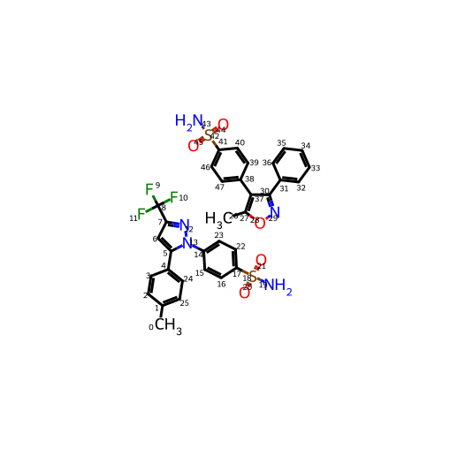 Cc1ccc(-c2cc(C(F)(F)F)nn2-c2ccc(S(N)(=O)=O)cc2)cc1.Cc1onc(-c2ccccc2)c1-c1ccc(S(N)(=O)=O)cc1